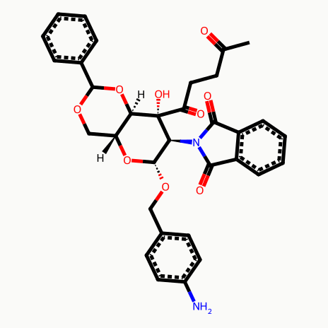 CC(=O)CCC(=O)[C@]1(O)[C@@H]2OC(c3ccccc3)OC[C@H]2O[C@@H](OCc2ccc(N)cc2)[C@@H]1N1C(=O)c2ccccc2C1=O